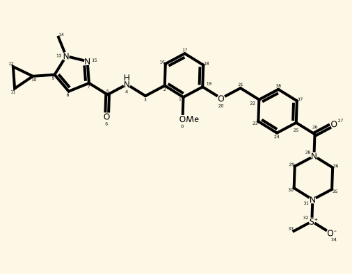 COc1c(CNC(=O)c2cc(C3CC3)n(C)n2)cccc1OCc1ccc(C(=O)N2CCN([S+](C)[O-])CC2)cc1